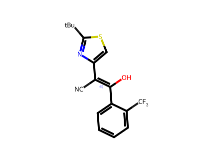 CC(C)(C)c1nc(/C(C#N)=C(\O)c2ccccc2C(F)(F)F)cs1